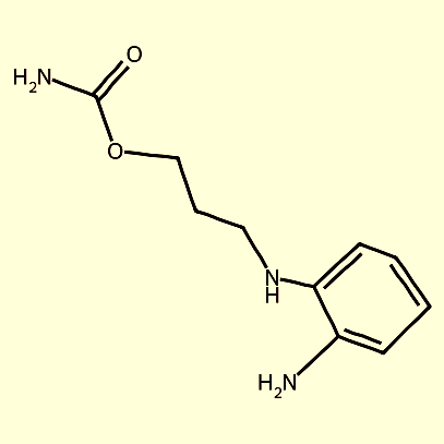 NC(=O)OCCCNc1ccccc1N